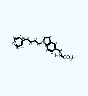 O=C(O)NCc1ccc2c(c1)CCN2CCCCc1ccncc1